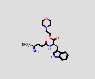 CCOC(=O)[C@H](N)CCC(=O)N[C@H](Cc1c[nH]c2ccccc12)C(=O)OCCN1CCOCC1